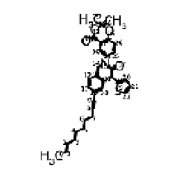 CCCCCCCCC#Cc1ccc(CN(C(=O)Cc2cccs2)c2ccc3c(c2)C(=O)OC(C)(C)O3)cc1